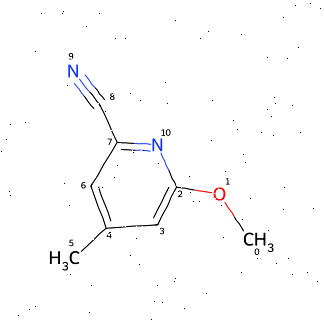 COc1cc(C)cc(C#N)n1